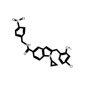 CC[S+]([O-])c1ccc(CNC(=O)c2ccc3c(c2)cc(Cc2ccc(Cl)cc2C)n3C2CC2)cc1